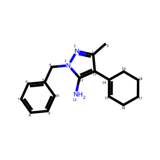 Cc1nn(Cc2ccccc2)c(N)c1C1=CCCCC1